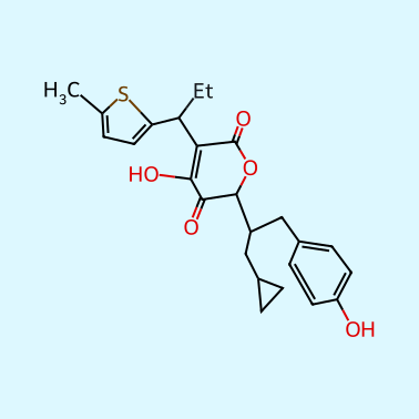 CCC(C1=C(O)C(=O)C(C(Cc2ccc(O)cc2)CC2CC2)OC1=O)c1ccc(C)s1